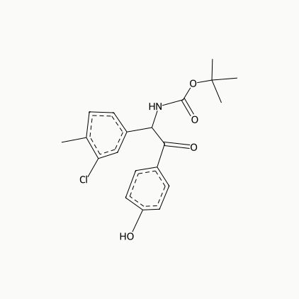 Cc1ccc(C(NC(=O)OC(C)(C)C)C(=O)c2ccc(O)cc2)cc1Cl